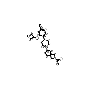 O=C(O)N1CC2(CC[C@@H](N3CCC(c4ccc(F)cc4OC4COC4)CC3)C2)C1